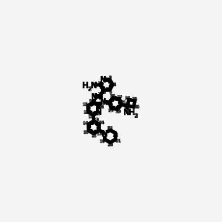 Nc1ncccc1-c1nc2ccc(-c3cccc(N4CC[CH]CC4)c3)nc2n1-c1ccc(C2(N)CCC2)cc1